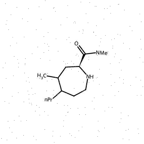 CCCC1CCN[C@H](C(=O)NC)CC1C